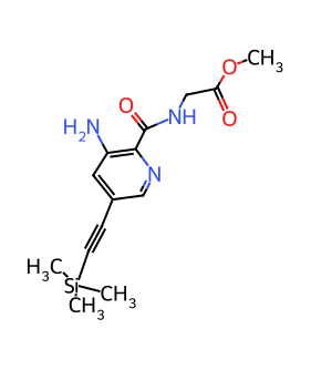 COC(=O)CNC(=O)c1ncc(C#C[Si](C)(C)C)cc1N